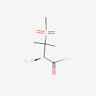 CN[C@H](C(N)=O)C(C)(C)S(C)(=O)=O